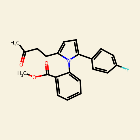 COC(=O)c1ccccc1-n1c(CCC(C)=O)ccc1-c1ccc(F)cc1